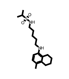 Cc1ccc(NCCCCCNS(=O)(=O)C(C)C)c2c1CCCC2